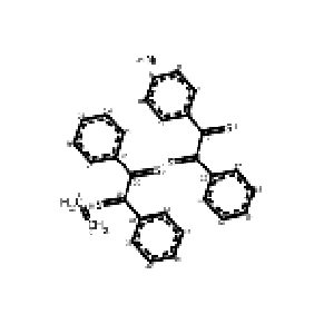 C=C.S=C(C(=S)c1ccccc1)c1ccccc1.S=C(C(=S)c1ccccc1)c1ccccc1.[Ni]